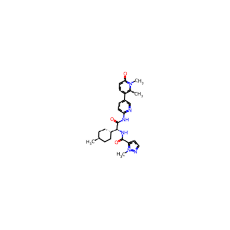 Cc1c(-c2ccc(NC(=O)[C@@H](NC(=O)c3ccnn3C)[C@H]3CC[C@H](C)CC3)nc2)ccc(=O)n1C